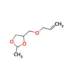 C=CCOCC1CO[C](C)O1